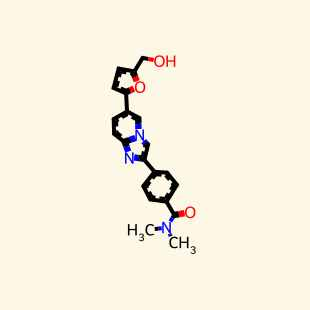 CN(C)C(=O)c1ccc(-c2cn3cc(-c4ccc(CO)o4)ccc3n2)cc1